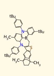 CC1=CC2=C3B(Cc4sc5cc6c(cc5c4N(c4ccc(C(C)(C)C)cc4)C3C1)C1(C)CCC6(C)CC1)c1cc(C(C)(C)C)ccc1N2c1ccc(C(C)(C)C)cc1